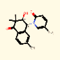 CC1(C)C(=O)c2ccc(C#N)cc2[C@@H](n2cc([N+](=O)[O-])ccc2=O)[C@@H]1O